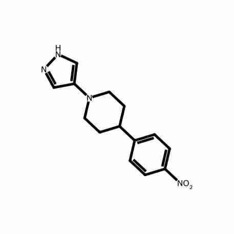 O=[N+]([O-])c1ccc(C2CCN(c3cn[nH]c3)CC2)cc1